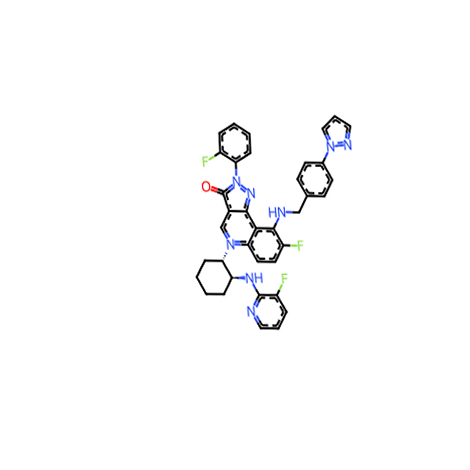 O=c1c2cn([C@H]3CCCC[C@@H]3Nc3ncccc3F)c3ccc(F)c(NCc4ccc(-n5cccn5)cc4)c3c-2nn1-c1ccccc1F